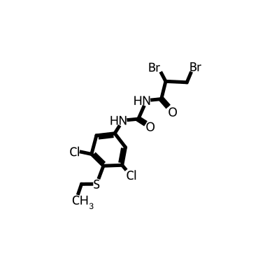 CCSc1c(Cl)cc(NC(=O)NC(=O)C(Br)CBr)cc1Cl